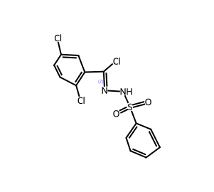 O=S(=O)(N/N=C(\Cl)c1cc(Cl)ccc1Cl)c1ccccc1